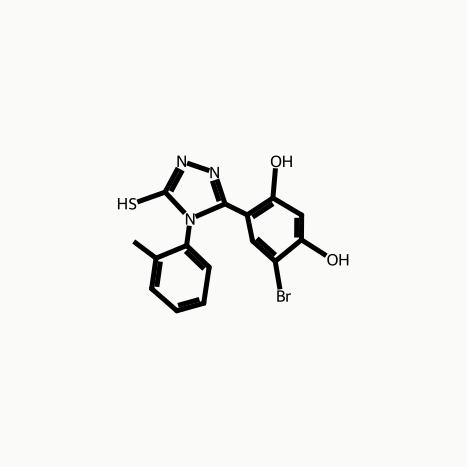 Cc1ccccc1-n1c(S)nnc1-c1cc(Br)c(O)cc1O